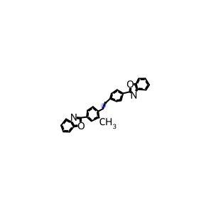 Cc1cc(-c2nc3ccccc3o2)ccc1/C=C/c1ccc(-c2nc3ccccc3o2)cc1